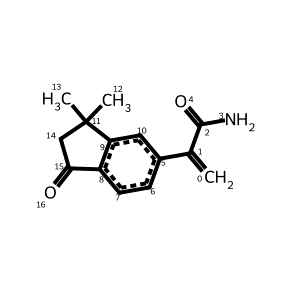 C=C(C(N)=O)c1ccc2c(c1)C(C)(C)CC2=O